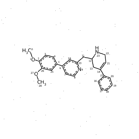 COc1ccc(-c2ccnc(CC3CC(c4ccccc4)=CCN3)c2)cc1OC